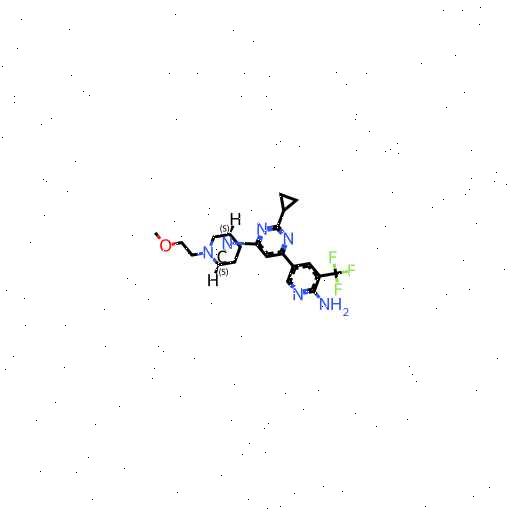 COCCN1C[C@@H]2CC[C@H]1CN2c1cc(-c2cnc(N)c(C(F)(F)F)c2)nc(C2CC2)n1